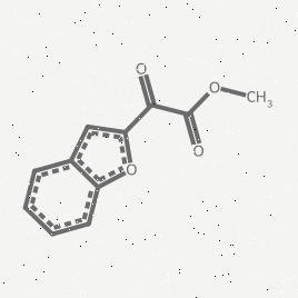 COC(=O)C(=O)c1cc2ccccc2o1